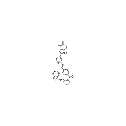 COC[C@@H]1CCCN1C(=O)c1ccc(C=Cc2cc(-c3cc4c([nH]3)CCNC4=O)ccn2)c(N2CCOCC2)c1